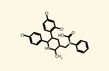 CC1NC(c2ccc(Cl)cc2)C(c2ccc(Cl)cc2Cl)CC1CN(C(=O)O)c1ccccc1